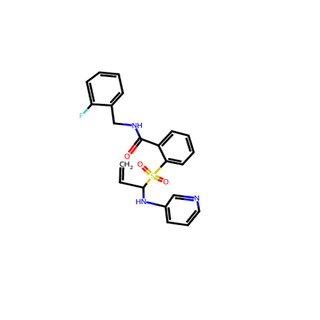 C=CC(Nc1cccnc1)S(=O)(=O)c1ccccc1C(=O)NCc1ccccc1F